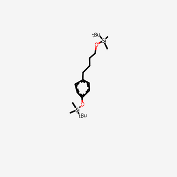 CC(C)(C)[Si](C)(C)OCCCCc1ccc(O[Si](C)(C)C(C)(C)C)cc1